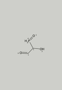 O=CC(O)[PH2]=O